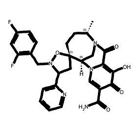 C[C@H]1CC[C@]2(CC(c3ccccn3)N(Cc3ccc(F)cc3F)O2)[C@H]2CN1C(=O)c1c(O)c(=O)c(C(N)=O)cn12